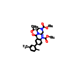 COC(=O)[C@@H]1CN(C(=O)OC(C)(C)C)CCN1C(=O)c1cc(-c2cc(C(F)(F)F)ccc2C)ccc1NC(=O)OC(C)(C)C